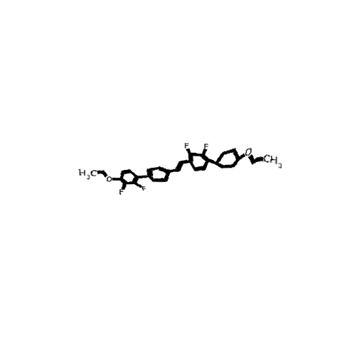 CCOc1ccc(-c2ccc(/C=C/c3ccc(C4CCC(OCC)CC4)c(F)c3F)cc2)c(F)c1F